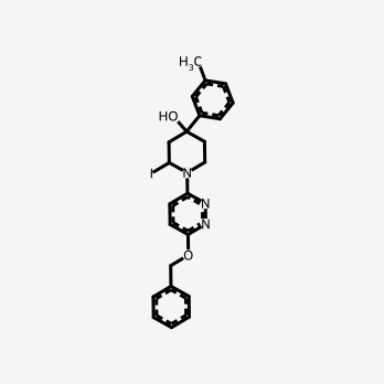 Cc1cccc(C2(O)CCN(c3ccc(OCc4ccccc4)nn3)C(I)C2)c1